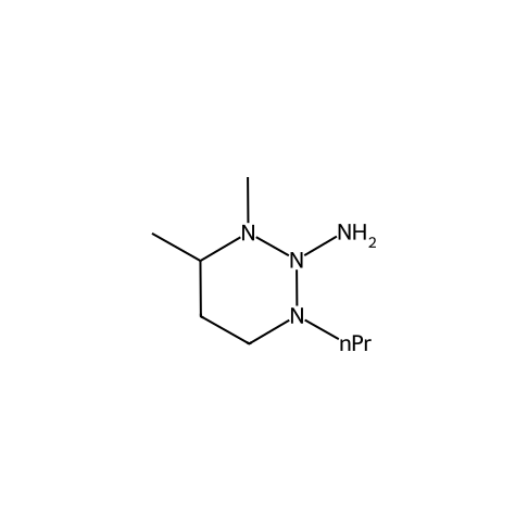 CCCN1CCC(C)N(C)N1N